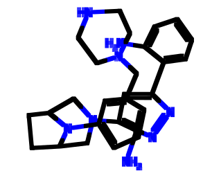 Nc1ccccc1-c1cc(N2CC3CCC(C2)N3c2cccc(CN3CCNCC3)c2)c(N)nn1